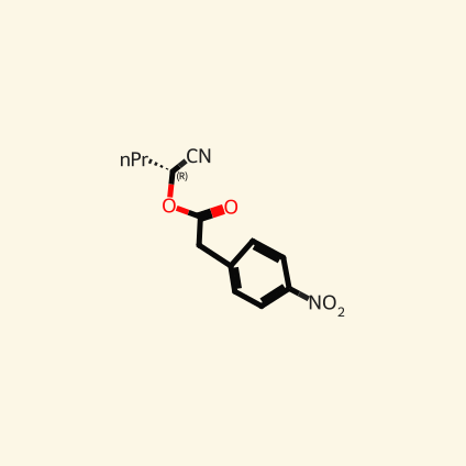 CCC[C@H](C#N)OC(=O)Cc1ccc([N+](=O)[O-])cc1